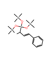 CC(C=Cc1ccccc1)[Si](O[Si](C)(C)C)(O[Si](C)(C)C)O[Si](C)(C)C